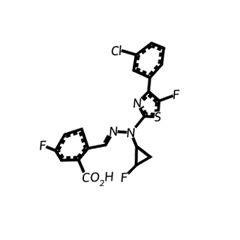 O=C(O)c1cc(F)ccc1/C=N/N(c1nc(-c2cccc(Cl)c2)c(F)s1)C1CC1F